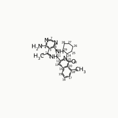 CC(=N)c1c(N)ncnc1NCc1cc2cccc(C)c2c(=O)n1C1CCCCC1